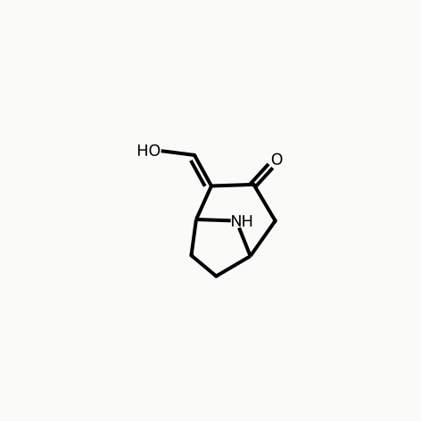 O=C1CC2CCC(N2)/C1=C\O